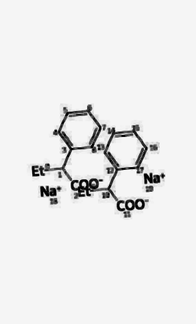 CCC(C(=O)[O-])c1ccccc1.CCC(C(=O)[O-])c1ccccc1.[Na+].[Na+]